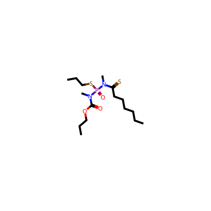 CCCCCCC(=S)N(C)P(=O)(SCCC)N(C)C(=O)OCCC